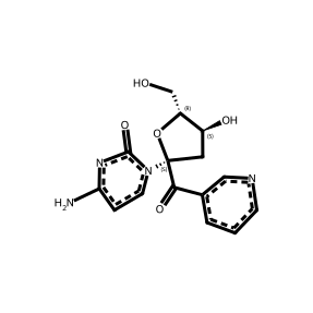 Nc1ccn([C@@]2(C(=O)c3cccnc3)C[C@H](O)[C@@H](CO)O2)c(=O)n1